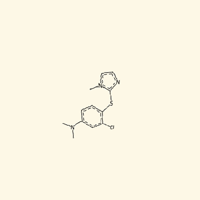 CN(C)c1ccc(Sc2nccn2C)c(Cl)c1